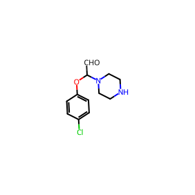 O=CC(Oc1ccc(Cl)cc1)N1CCNCC1